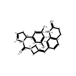 O=C1CCc2ccc(C=C3CN(C(=O)N4N=CCC4c4cc(F)cc(F)c4)C3)cc2N1